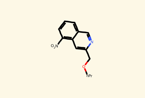 CCCOCc1cc2c([N+](=O)[O-])cccc2cn1